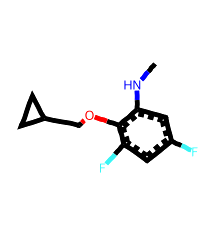 CNc1cc(F)cc(F)c1OCC1CC1